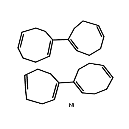 C1=CCCC(C2=CCCC=CCC2)=CCC1.C1=CCCC(C2=CCCC=CCC2)=CCC1.[Ni]